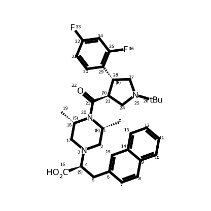 C[C@@H]1CN([C@@H](Cc2ccc3ccccc3c2)C(=O)O)C[C@H](C)N1C(=O)[C@@H]1CN(C(C)(C)C)C[C@H]1c1ccc(F)cc1F